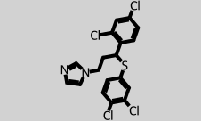 Clc1ccc(C(CCn2ccnc2)Sc2ccc(Cl)c(Cl)c2)c(Cl)c1